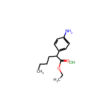 CCCCC(C(=O)OCC)c1ccc(N)cc1.Cl